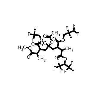 COC(=O)C(C)C(CC(C)(CC(C(=O)OCC(F)(F)C(F)F)C(C)C(=O)OC(C(F)(F)F)C(F)(F)F)OC(C)=O)C(=O)OCC(F)(F)F